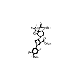 COC(=O)c1cc(-c2cc(F)c(OC)cc2F)ncc1N1CCCC(NC(=O)OC(C)(C)C)(C(O)C(F)F)C1